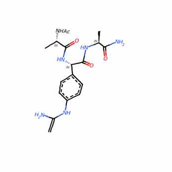 C=C(N)Nc1ccc([C@H](NC(=O)[C@H](C)NC(C)=O)C(=O)N[C@@H](C)C(N)=O)cc1